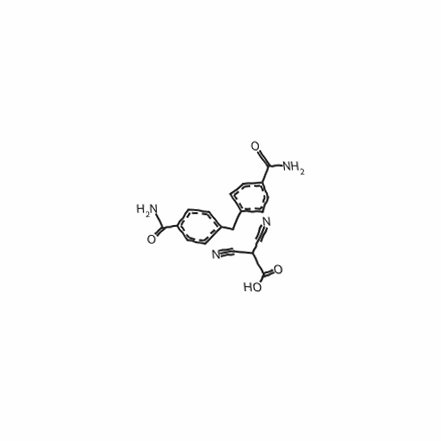 N#CC(C#N)C(=O)O.NC(=O)c1ccc(Cc2ccc(C(N)=O)cc2)cc1